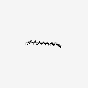 [N-]=[N+]=NCCOCCCCCOCCN=[N+]=[N-]